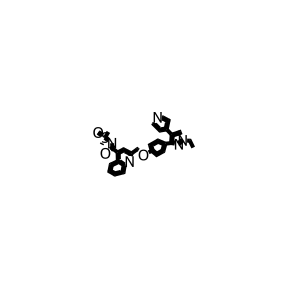 CCn1cc(-c2ccncc2)c(-c2ccc(OCc3cc(C(=O)N=S(C)(C)=O)c4ccccc4n3)cc2)n1